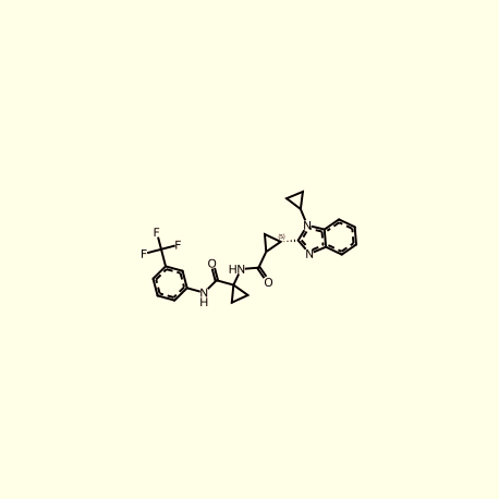 O=C(NC1(C(=O)Nc2cccc(C(F)(F)F)c2)CC1)C1C[C@@H]1c1nc2ccccc2n1C1CC1